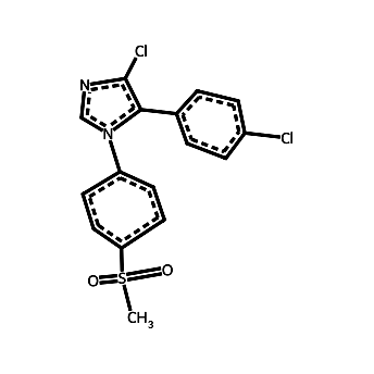 CS(=O)(=O)c1ccc(-n2cnc(Cl)c2-c2ccc(Cl)cc2)cc1